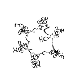 O=S(=O)(O)C1=CC2CC3=CC(S(=O)(=O)O)=CC(CC4=CC(S(=O)(=O)O)=CC(CC5=CC(S(=O)(=O)O)=CC(CC6=CC(S(=O)(=O)O)=CC(CC7=CC(S(=O)(=O)O)=CC(CC(=C1)C2O)C7O)C6O)C5O)C4O)C3O